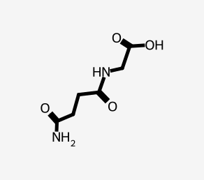 NC(=O)CCC(=O)NCC(=O)O